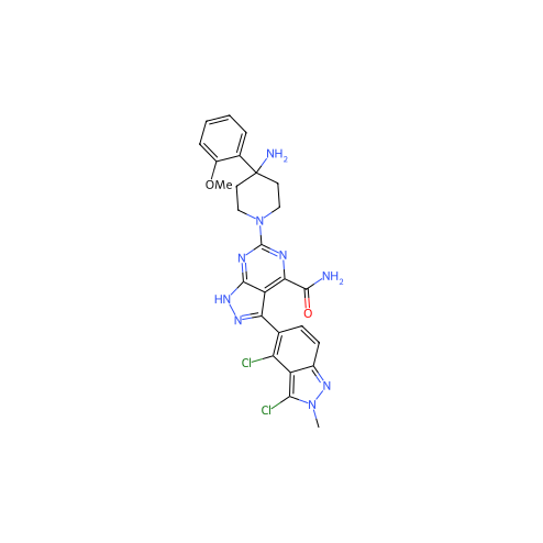 COc1ccccc1C1(N)CCN(c2nc(C(N)=O)c3c(-c4ccc5nn(C)c(Cl)c5c4Cl)n[nH]c3n2)CC1